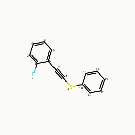 Fc1ccccc1C#CSc1ccccc1